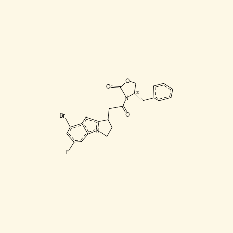 O=C(CC1CCn2c1cc1c(Br)cc(F)cc12)N1C(=O)OC[C@@H]1Cc1ccccc1